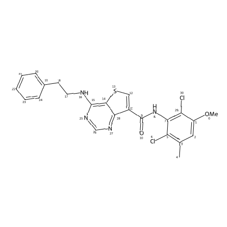 COc1cc(C)c(Cl)c(NC(=O)c2csc3c(NCCc4ccccc4)ncnc23)c1Cl